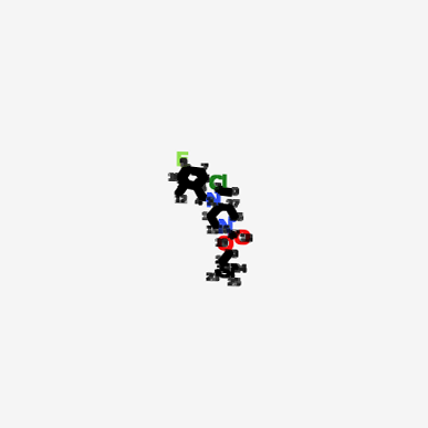 C=C(Cl)N(Cc1ccc(F)cc1C)C1CCN(C(=O)OCC[Si](C)(C)C)CC1